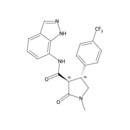 CN1C[C@@H](c2ccc(C(F)(F)F)cc2)[C@H](C(=O)Nc2cccc3cn[nH]c23)C1=O